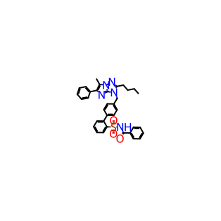 CCCCc1nn2c(C)c(-c3ccccc3)nc2n1Cc1ccc(-c2ccccc2S(=O)(=O)NC(=O)c2ccccc2)cc1